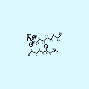 CCCCCC(=O)CSC.CCCCCCCCS(=O)(=O)OF